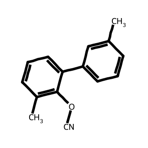 Cc1cccc(-c2cccc(C)c2OC#N)c1